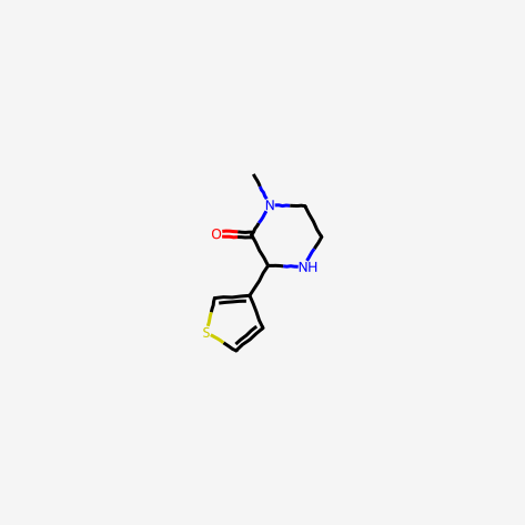 CN1CCNC(c2ccsc2)C1=O